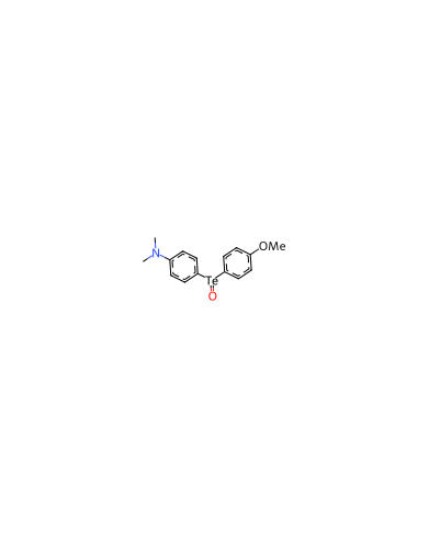 COc1ccc([Te](=O)c2ccc(N(C)C)cc2)cc1